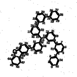 c1ccc(-c2cccc(-c3cccc(C(c4cccc(-c5cccc(-c6ccccc6)c5)c4)c4cccc(-c5ccc6oc7ccccc7c6c5)c4)c3)c2)cc1